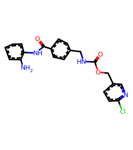 Nc1ccccc1NC(=O)c1ccc(CNC(=O)OCc2ccc(Cl)nc2)cc1